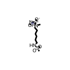 CN(CCCCCCNS(C)(=O)=O)/[N+]([O-])=N\O